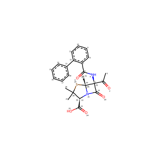 CC(=O)[C@]1(NC(=O)c2ccccc2-c2ccccc2)C(=O)N2[C@@H](C(=O)O)C(C)(C)S[C@@H]21